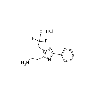 Cl.NCCc1nc(-c2ccccc2)nn1CC(F)(F)F